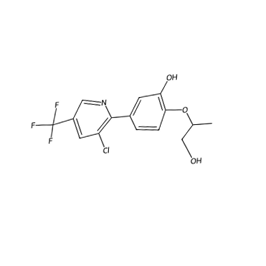 CC(CO)Oc1ccc(-c2ncc(C(F)(F)F)cc2Cl)cc1O